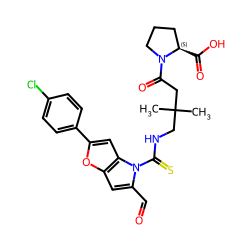 CC(C)(CNC(=S)n1c(C=O)cc2oc(-c3ccc(Cl)cc3)cc21)CC(=O)N1CCC[C@H]1C(=O)O